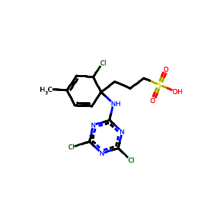 CC1=CC(Cl)C(CCCS(=O)(=O)O)(Nc2nc(Cl)nc(Cl)n2)C=C1